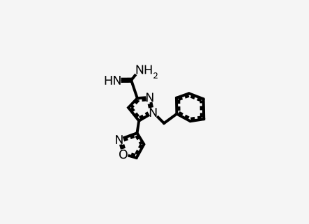 N=C(N)c1cc(-c2ccon2)n(Cc2ccccc2)n1